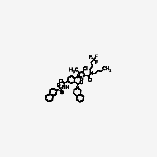 CCCCN(CCCC(F)(F)F)C(=O)c1nn(-c2ccc(C(=O)NS(=O)(=O)c3ccc4ccccc4c3)cc2C(=O)N2CCc3ccccc3C2)c(C)c1Cl